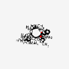 CCCNC[C@]1(O)[C@H](C)O[C@@H](OC2C(C)C(=O)OC(CC)C(C)(O)C(O)C(C)NCC(C)CC(C)(O)C(O[C@@H]3O[C@H](C)C[C@H](NC)[C@H]3Oc3cnc4ccccc4c3)C2C)C[C@@]1(C)OC